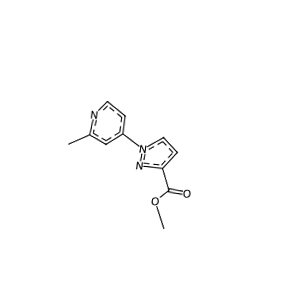 COC(=O)c1ccn(-c2ccnc(C)c2)n1